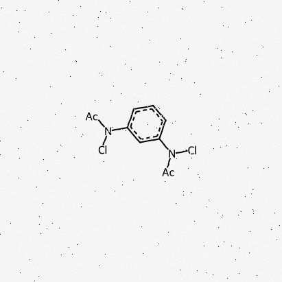 CC(=O)N(Cl)c1cccc(N(Cl)C(C)=O)c1